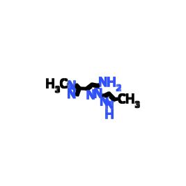 Cc1cc(-n2nc(-c3cnn(C)c3)cc2N)n[nH]1